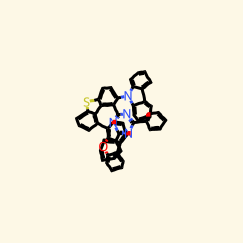 c1ccc(-c2nc(-c3ccccc3)nc(-c3c(-n4c5ccccc5c5ccccc54)ccc4sc5cccc(-c6cccc7c6oc6ccccc67)c5c34)n2)cc1